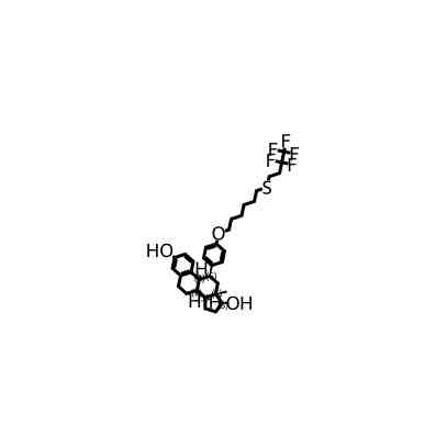 C[C@]12C[C@H](c3ccc(OCCCCCCSCCC(F)(F)C(F)(F)F)cc3)[C@@H]3c4ccc(O)cc4CC[C@H]3[C@@H]1CC[C@@H]2O